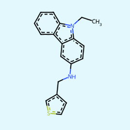 CCn1c2ccccc2c2cc(NCc3ccsc3)ccc21